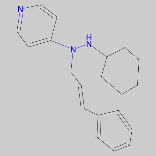 C(=Cc1ccccc1)CN(NC1CCCCC1)c1ccncc1